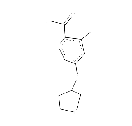 Cc1cc(O[C@]2(C)CCNC2)cnc1C(N)=O